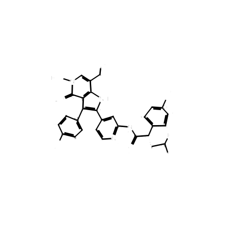 Cn1cc(CC(F)(F)F)c2[nH]c(-c3ccnc(NC(=O)[C@@H](CC(F)F)c4ccc(F)cc4)c3)c(-c3ccc(F)cc3)c2c1=O